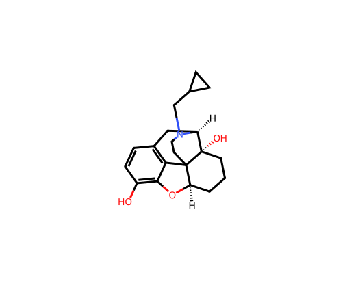 Oc1ccc2c3c1O[C@@H]1CCC[C@]4(O)[C@H](C2)N(CC2CC2)CCC314